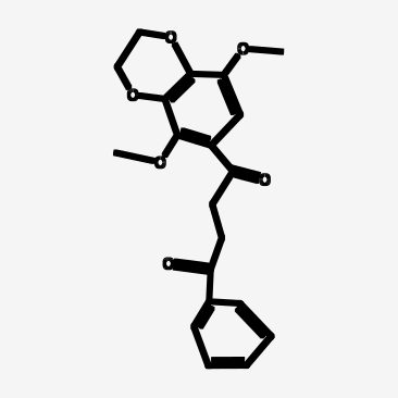 COc1cc(C(=O)CCC(=O)c2ccccc2)c(OC)c2c1OCCO2